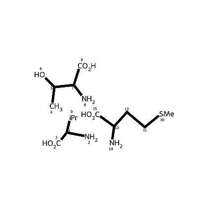 CC(C)C(N)C(=O)O.CC(O)C(N)C(=O)O.CSCCC(N)C(=O)O